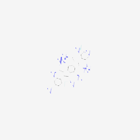 N#CC(C#N)=C1C(c2cc(F)c(C#N)cc2F)=C(C#N)c2c(C#N)c3c(c(C#N)c21)C(=C(C#N)C#N)C(c1cc(F)ncc1C#N)=C3C#N